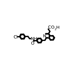 O=C(O)CCc1cnc(Cc2ccc(C(=O)NCCc3ccc(Cl)cc3)cc2)c2ccccc12